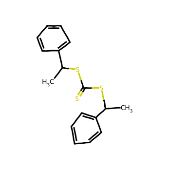 CC(SC(=S)SC(C)c1ccccc1)c1ccccc1